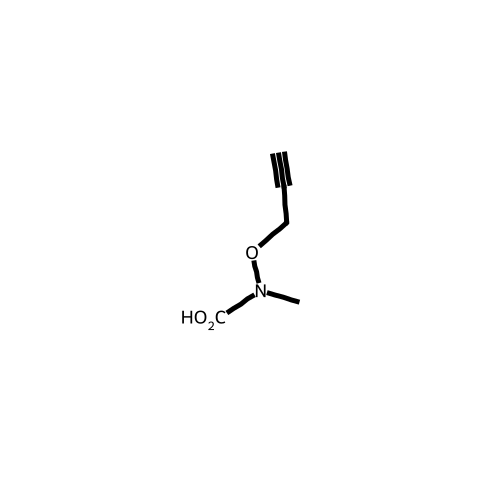 C#CCON(C)C(=O)O